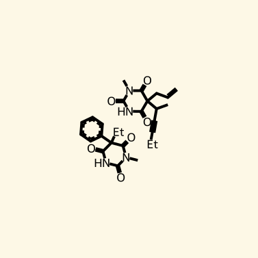 C=CCC1(C(C)C#CCC)C(=O)NC(=O)N(C)C1=O.CCC1(c2ccccc2)C(=O)NC(=O)N(C)C1=O